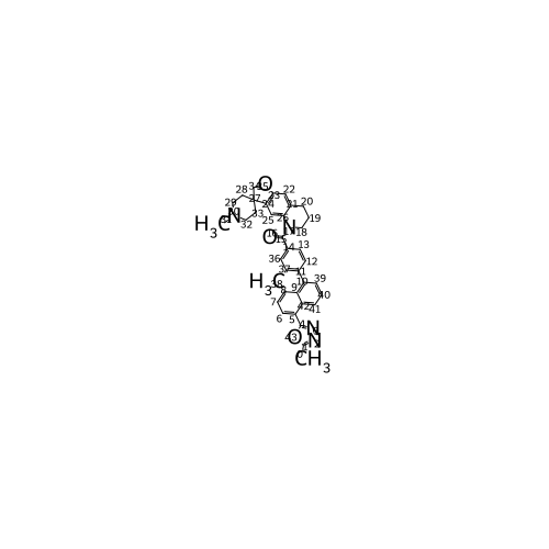 Cc1nnc(-c2cccc3c(-c4ccc(C(=O)N5CCCc6cc7c(cc65)C5(CCN(C)CC5)CO7)cc4C)cccc23)o1